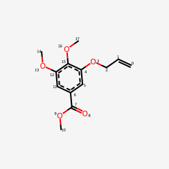 C=CCOc1cc(C(=O)OC)cc(OC)c1OC